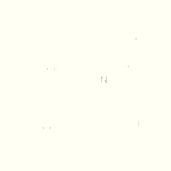 O=C(O)C1S[C@@H]2CC(=O)N2C1C(=O)O